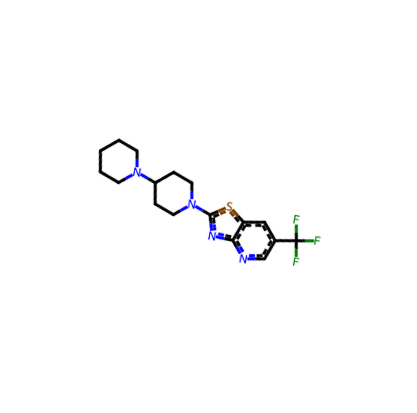 FC(F)(F)c1cnc2nc(N3CCC(N4CCCCC4)CC3)sc2c1